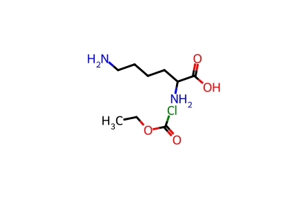 CCOC(=O)Cl.NCCCCC(N)C(=O)O